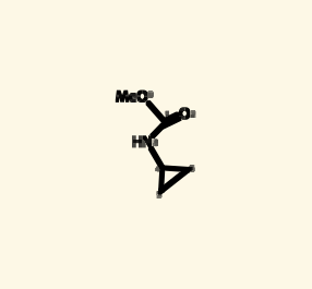 COC(=O)NC1CC1